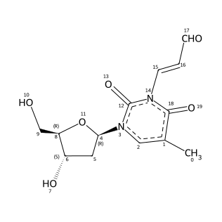 Cc1cn([C@H]2C[C@H](O)[C@@H](CO)O2)c(=O)n(C=CC=O)c1=O